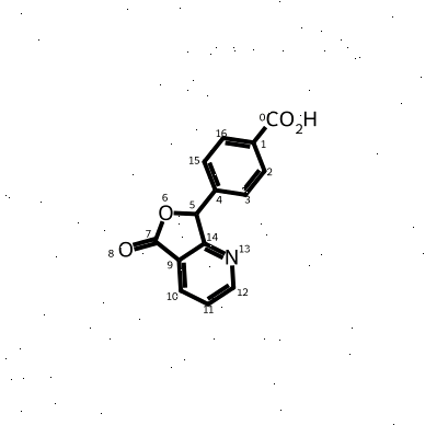 O=C(O)c1ccc(C2OC(=O)c3cccnc32)cc1